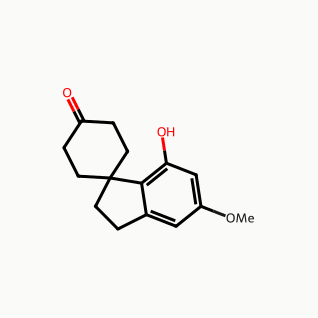 COc1cc(O)c2c(c1)CCC21CCC(=O)CC1